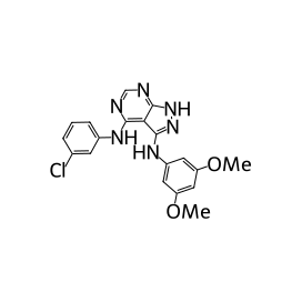 COc1cc(Nc2n[nH]c3ncnc(Nc4cccc(Cl)c4)c23)cc(OC)c1